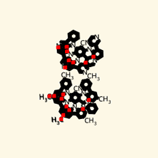 Cc1ccc2c(c1)c1cc(C)ccc1n2-c1c(C#N)c(-n2c3ccc(C)cc3c3cc(C)ccc32)c(-n2c3ccc(C)cc3c3cc(C)ccc32)c(-n2c3ccc(C)cc3c3cc(C)ccc32)c1-c1nc2ccccc2s1.N#Cc1c(-n2c3ccccc3c3cnccc32)c(-c2cccnc2)c(-n2c3ccccc3c3cnccc32)c(-n2c3ccccc3c3cnccc32)c1-n1c2ccccc2c2cnccc21